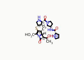 C[C@@H](O)[C@H]1C(=O)N2C(C(=O)O)=C(S[C@@H]3CN[C@H](C(=O)N4CC[C@H](NC(=O)[C@@H]5CCCN5)C4)C3)[C@H](C)[C@H]12